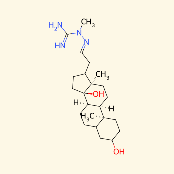 CN(/N=C/CC1CC[C@@]2(O)[C@@H]3CCC4CC(O)CC[C@]4(C)[C@@H]3CC[C@]12C)C(=N)N